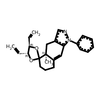 C=C[C@H]1OC2(CCCC3=Cc4c(cnn4-c4ccccc4)C[C@@]32C)O[C@@H]1C=C